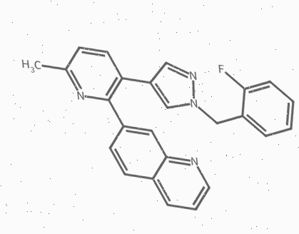 Cc1ccc(-c2cnn(Cc3ccccc3F)c2)c(-c2ccc3cccnc3c2)n1